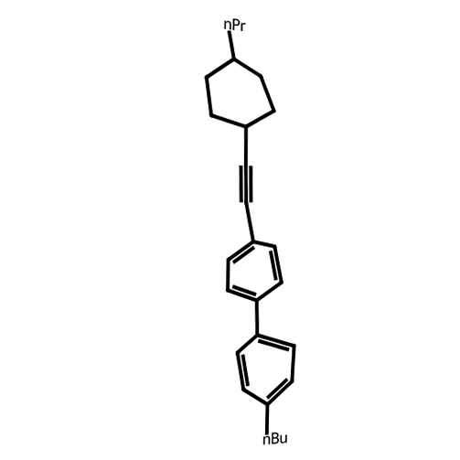 CCCCc1ccc(-c2ccc(C#CC3CCC(CCC)CC3)cc2)cc1